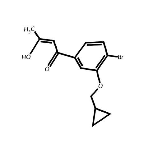 CC(O)=CC(=O)c1ccc(Br)c(OCC2CC2)c1